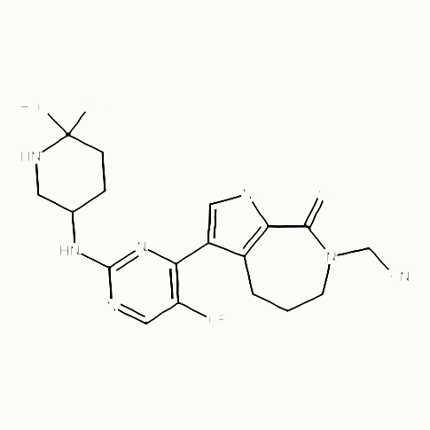 CC1(C)CCC(Nc2ncc(C(F)(F)F)c(-c3c[nH]c4c3CCCN(CC#N)C4=O)n2)CN1